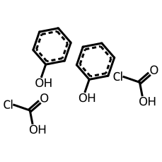 O=C(O)Cl.O=C(O)Cl.Oc1ccccc1.Oc1ccccc1